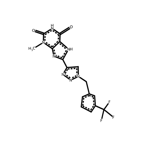 Cn1c(=O)[nH]c(=O)c2[nH]c(-c3cn(Cc4cccc(C(F)(F)F)c4)nn3)nc21